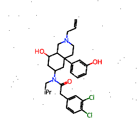 C=CCN1CCC2(c3cccc(O)c3)CC(N(CC(C)C)C(=O)Cc3ccc(Cl)c(Cl)c3)CC(O)C2C1